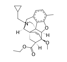 CCOC(=O)[C@H]1C[C@@]23C=C[C@]1(OC)[C@@H]1Oc4c(C)ccc5c4[C@@]12CCN(CC1CC1)[C@@H]3C5